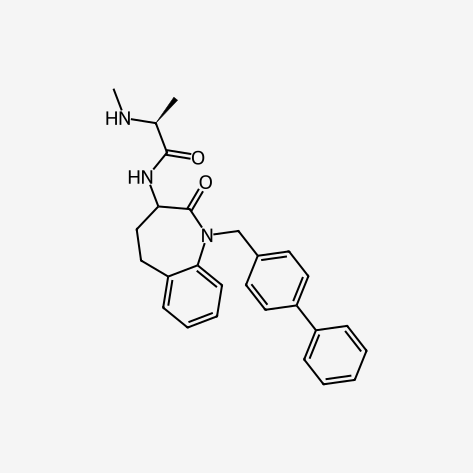 CN[C@@H](C)C(=O)NC1CCc2ccccc2N(Cc2ccc(-c3ccccc3)cc2)C1=O